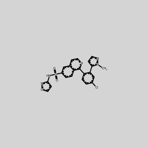 Cn1nccc1-c1cc(Cl)ccc1-c1nccc2cc(S(=O)(=O)Nc3ccon3)ccc12